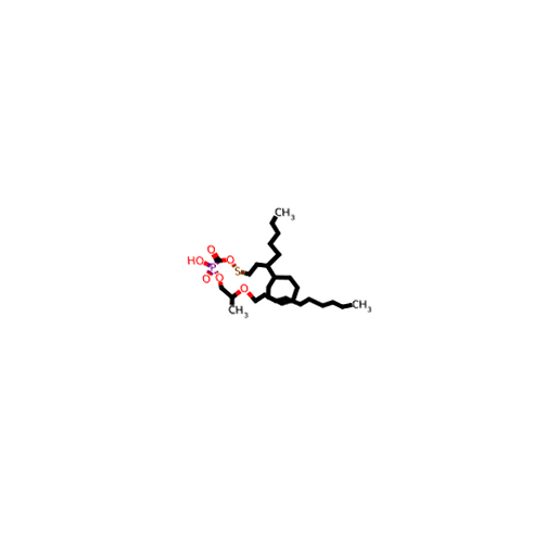 CCCCCCCCCCOC(C)COP(=O)(O)C(=O)OSCCC(CCCCC)C1CCCCCC1